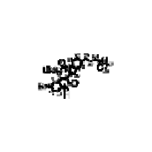 CC(C)(C)OC(=O)n1c(-c2cc3cc(Br)ccc3[nH]c2=O)cc2cc(CCCC3OCCO3)ccc21